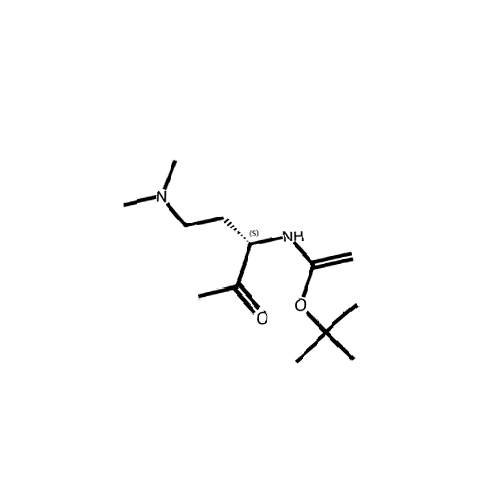 C=C(N[C@@H](CCN(C)C)C(C)=O)OC(C)(C)C